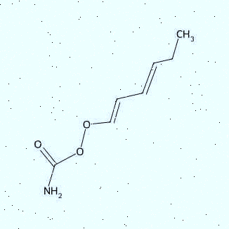 CCC=CC=COOC(N)=O